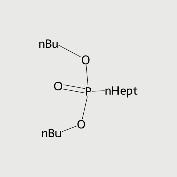 CCCCCCCP(=O)(OCCCC)OCCCC